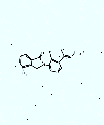 CCOC(=O)/C=C(\C)c1cccc(N2Cc3c(cccc3C(F)(F)F)C2=O)c1F